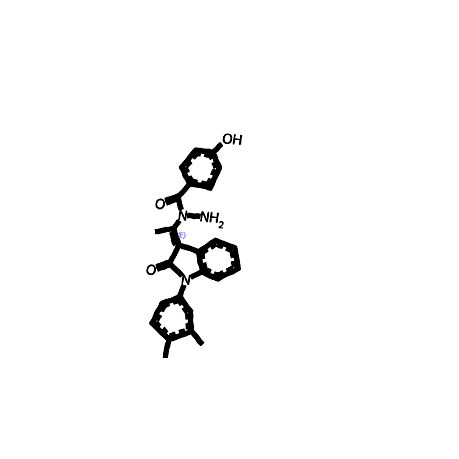 C/C(=C1\C(=O)N(c2ccc(C)c(C)c2)c2ccccc21)N(N)C(=O)c1ccc(O)cc1